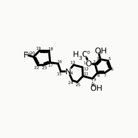 COc1c(O)cccc1[C@H](O)C1CCN(CCc2ccc(F)cc2)CC1